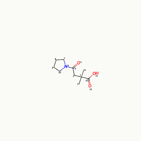 CC(C)(CC(=O)N1CCCC1)C(=O)O